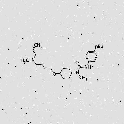 C=CCN(C)CCCCOC1CCC(N(C)C(=O)Nc2ccc(CCCC)cc2)CC1